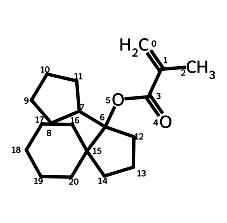 C=C(C)C(=O)OC1(C2CCCC2)CCCC12CCCCC2